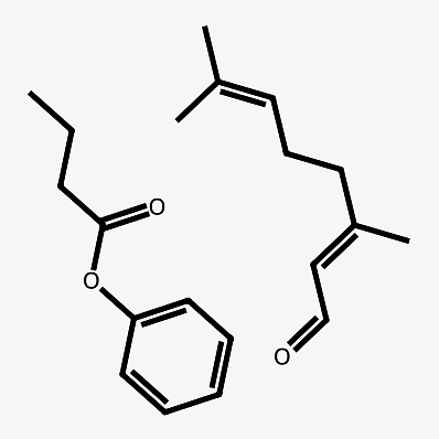 CC(C)=CCCC(C)=CC=O.CCCC(=O)Oc1ccccc1